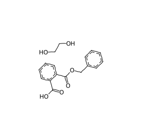 O=C(O)c1ccccc1C(=O)OCc1ccccc1.OCCO